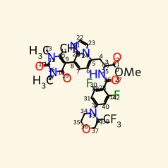 COC(=O)[C@H](Cc1ccc(-c2c(C)n(C)c(=O)n(C)c2=O)c2nccn12)NC(=O)c1c(F)cc(N2CCOC[C@@H]2C(F)(F)F)cc1F